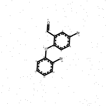 O=Cc1cc(Br)ccc1Oc1ccccc1Br